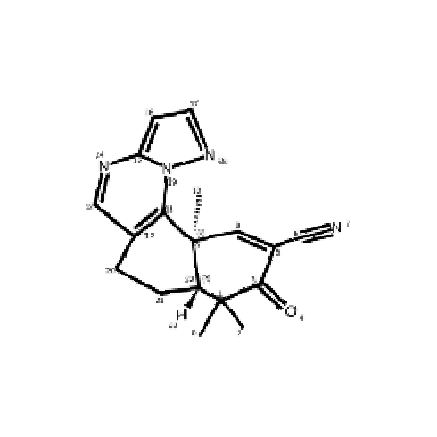 CC1(C)C(=O)C(C#N)=C[C@]2(C)c3c(cnc4ccnn34)CC[C@@H]12